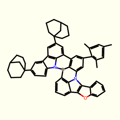 Cc1cc(C)c(-c2cc3c4c(c2)-n2c5c(cccc5c5oc6ccccc6c52)B4n2c4ccc(C56CCCC(CCC5)C6)cc4c4cc(C56CCCC(CCC5)C6)cc-3c42)c(C)c1